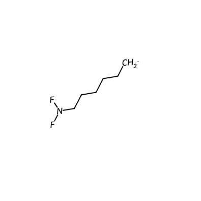 [CH2]CCCCCN(F)F